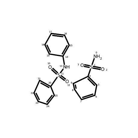 NS(=O)(=O)c1ccccc1.O=S(=O)(Nc1ccccc1)c1ccccc1